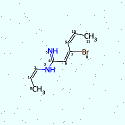 C/C=C\NC(=N)/C=C(Br)\C=C/C